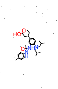 CCC(CC(=O)O)c1ccc(N(CC(C)C)CC(C)C)c(NC(C)(Nc2ccc(C)cc2)OC)c1